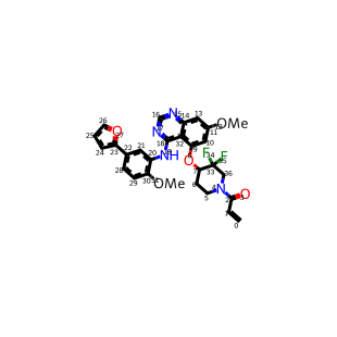 C=CC(=O)N1CCC(Oc2cc(OC)cc3ncnc(Nc4cc(-c5ccco5)ccc4OC)c23)C(F)(F)C1